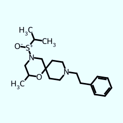 CC1CN([S+]([O-])C(C)C)CC2(CCN(CCc3ccccc3)CC2)O1